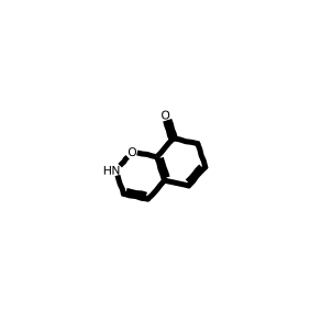 O=C1CC=CC2=C1ONC=C2